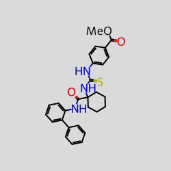 COC(=O)c1ccc(NC(=S)NC2(C(=O)Nc3ccccc3-c3ccccc3)CCCCC2)cc1